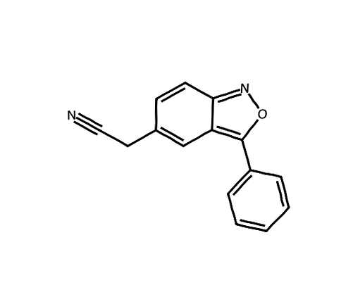 N#CCc1ccc2noc(-c3ccccc3)c2c1